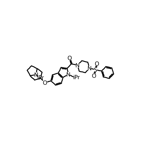 CC(C)N1C2CCC1CC(Oc1ccc3c(c1)cc(C(=O)N1CCN(S(=O)(=O)c4ccccc4)CC1)n3C(C)C)C2